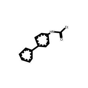 CCC(=O)Nc1ccc(-c2ccccc2)cc1